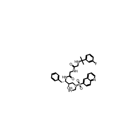 CC(C)CN(C[C@@H](O)[C@H](Cc1ccccc1)NC(=O)CNC(=O)CNC(C)(C)c1cccc(F)c1)S(=O)(=O)c1ccc2ncccc2c1